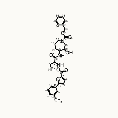 CC(C)CC(NOC(=O)c1ccc(-c2cccc(C(F)(F)F)c2)o1)C(=O)NC1CCCN(C(=O)OCc2ccccc2)CC1O